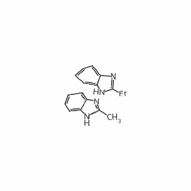 CCc1nc2ccccc2[nH]1.Cc1nc2ccccc2[nH]1